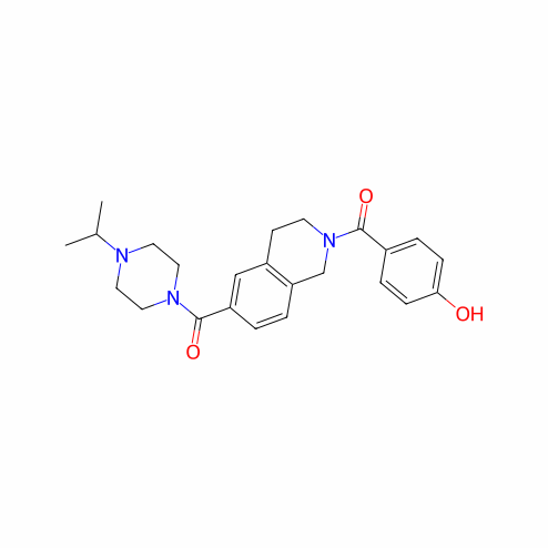 CC(C)N1CCN(C(=O)c2ccc3c(c2)CCN(C(=O)c2ccc(O)cc2)C3)CC1